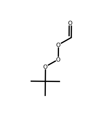 CC(C)(C)OOOC=O